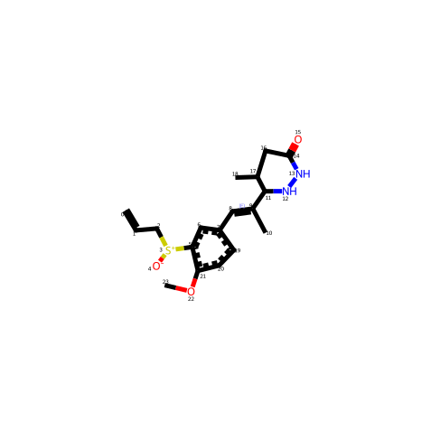 C=CC[S+]([O-])c1cc(/C=C(\C)C2NNC(=O)CC2C)ccc1OC